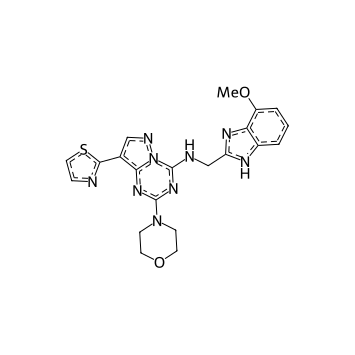 COc1cccc2[nH]c(CNc3nc(N4CCOCC4)nc4c(-c5nccs5)cnn34)nc12